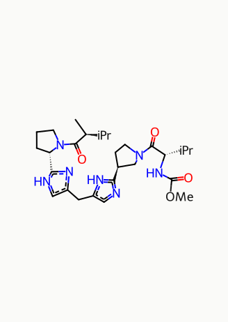 COC(=O)N[C@H](C(=O)N1CC[C@H](c2ncc(Cc3c[nH]c([C@@H]4CCCN4C(=O)[C@@H](C)C(C)C)n3)[nH]2)C1)C(C)C